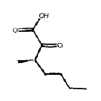 CCCC[C@@H](C)C(=O)C(=O)O